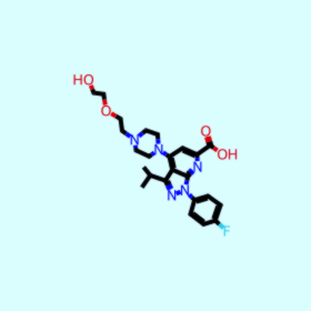 CC(C)c1nn(-c2ccc(F)cc2)c2nc(C(=O)O)cc(N3CCN(CCOCCO)CC3)c12